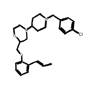 CC=Cc1ccccc1OCC1CN(C2CCN(Cc3ccc(Cl)cc3)CC2)CCO1